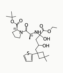 CCOC(=O)C(O)(CC(O)CC1(c2cccs2)CC(C)(C)C1)N[C@@H](C)C(=O)N1CCC[C@H]1C(=O)OC(C)(C)C